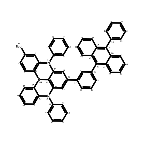 CC(C)(C)c1ccc2c(c1)N(c1ccccc1)c1cc(-c3cccc(-c4c5ccccc5c(-c5ccccc5)c5ccccc45)c3)cc3c1B2c1ccccc1N3c1ccccc1